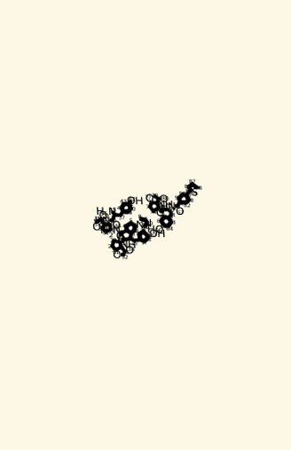 NC(=O)c1ccc(-n2ccnc2)cc1C(Cc1ccc(O)cc1)C(=O)NC12CCCC1OCC2=O.NC(Cc1ccc(O)cc1)C(=O)NC12CCCC1OCC2=O.O=C(NC(Cc1ccc(O)cc1)C(=O)NC12CCCC1OCC2=O)c1ccc(-c2cccs2)cc1